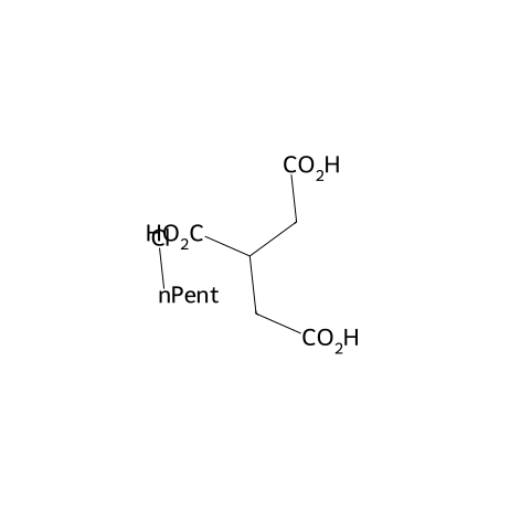 CCCCCCl.O=C(O)CC(CC(=O)O)C(=O)O